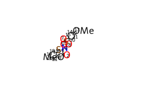 COC(=O)/C(=N/OS(=O)(=O)c1ccc(OC)cc1)SC1CCCCC1